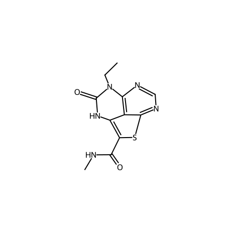 CCN1C(=O)Nc2c(C(=O)NC)sc3ncnc1c23